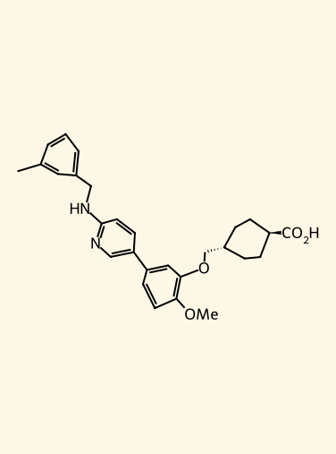 COc1ccc(-c2ccc(NCc3cccc(C)c3)nc2)cc1OC[C@H]1CC[C@H](C(=O)O)CC1